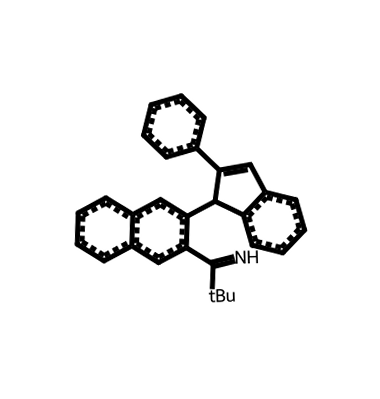 CC(C)(C)C(=N)c1cc2ccccc2cc1C1C(c2ccccc2)=Cc2ccccc21